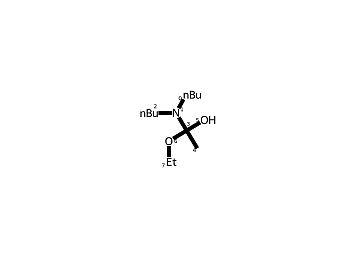 CCCCN(CCCC)C(C)(O)OCC